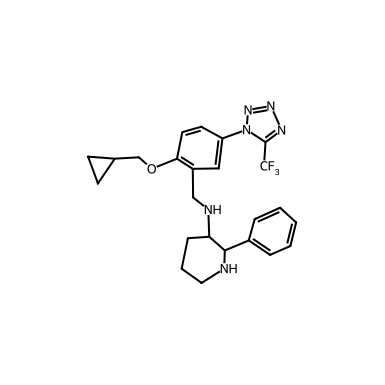 FC(F)(F)c1nnnn1-c1ccc(OCC2CC2)c(CNC2CCCNC2c2ccccc2)c1